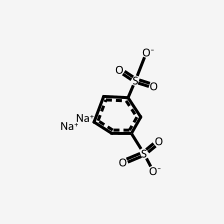 O=S(=O)([O-])c1cccc(S(=O)(=O)[O-])c1.[Na+].[Na+]